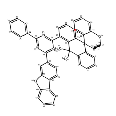 CC1(C)c2ccccc2C2(c3ccccc3Oc3ccccc32)c2cccc(-c3nc(-c4ccccc4)nc(-c4ccc5c(c4)oc4ccccc45)n3)c21